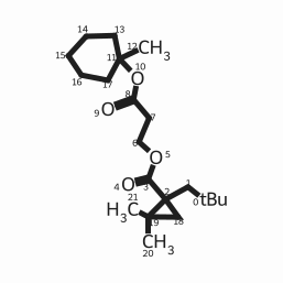 CC(C)(C)CC1(C(=O)OCCC(=O)OC2(C)CCCCC2)CC1(C)C